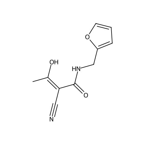 CC(O)=C(C#N)C(=O)NCc1ccco1